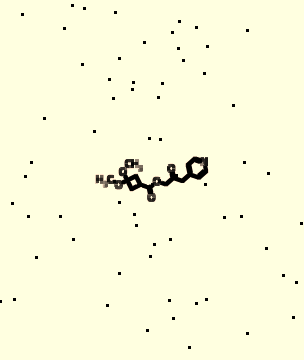 COC1(OC)CC(C(=O)OCC(=O)Cc2ccncc2)C1